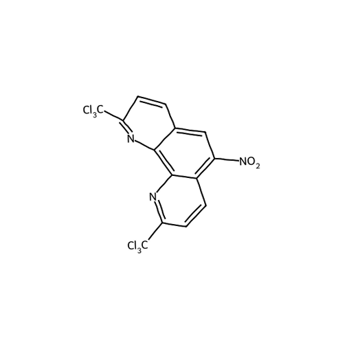 O=[N+]([O-])c1cc2ccc(C(Cl)(Cl)Cl)nc2c2nc(C(Cl)(Cl)Cl)ccc12